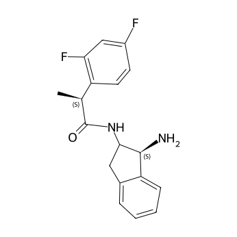 C[C@H](C(=O)NC1Cc2ccccc2[C@@H]1N)c1ccc(F)cc1F